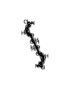 N#Cc1cc(Cl)cc2c1CC[C@H]2Oc1ccc(S(=O)(=O)NC2CCN(C(=O)CCCNC(=O)NCCCCNC(=O)NCCCC(=O)N3CCC(NS(=O)(=O)c4ccc(O[C@@H]5CCc6c(C#N)cc(Cl)cc65)cc4)CC3)CC2)cc1